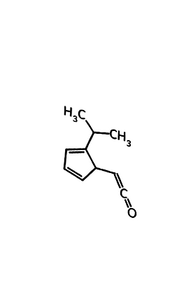 CC(C)C1=CC=CC1C=C=O